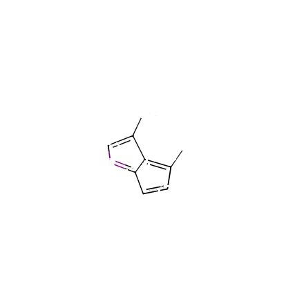 CCCCC1=[C]P=C2C=CC(CCCC)=C12